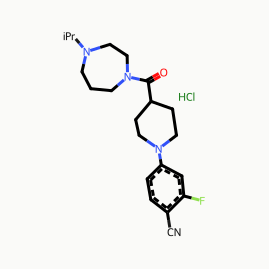 CC(C)N1CCCN(C(=O)C2CCN(c3ccc(C#N)c(F)c3)CC2)CC1.Cl